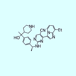 CCc1cccn2c(-c3nc(N[C@@H](C)c4ccc(C(C)(O)C5CCNCC5)cc4)ncc3C#N)cnc12